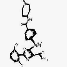 CN1CCC(NC(=O)c2ccc(Nc3oc(-c4c(Cl)cccc4Cl)nc3C(N)=O)cc2)CC1